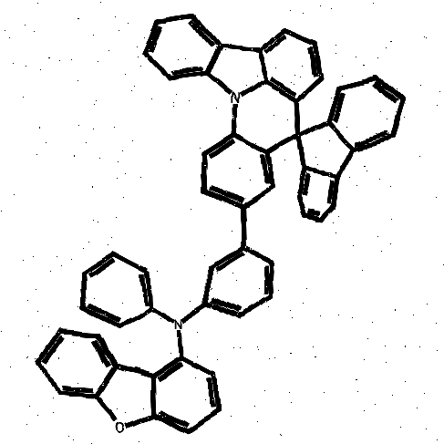 c1ccc(N(c2cccc(-c3ccc4c(c3)C3(c5ccccc5-c5ccccc53)c3cccc5c6ccccc6n-4c35)c2)c2cccc3oc4ccccc4c23)cc1